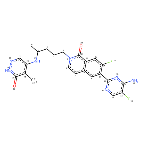 CC(CCCn1ccc2cc(-c3ncc(F)c(N)n3)c(F)cc2c1=O)Nc1cn[nH]c(=O)c1C(F)(F)F